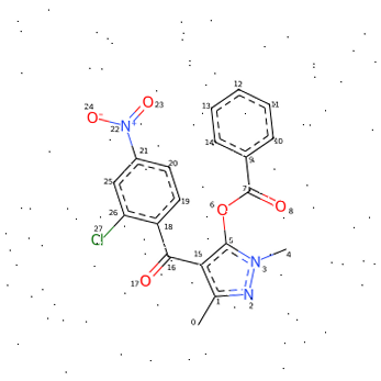 Cc1nn(C)c(OC(=O)c2ccccc2)c1C(=O)c1ccc([N+](=O)[O-])cc1Cl